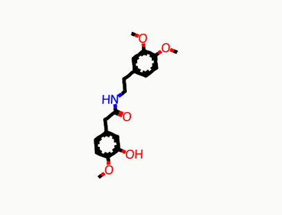 COc1ccc(CC(=O)NCCc2ccc(OC)c(OC)c2)cc1O